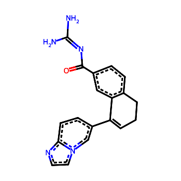 NC(N)=NC(=O)c1ccc2c(c1)C(c1ccc3nccn3c1)=CCC2